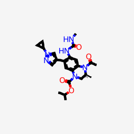 CNC(=O)Nc1cc2c(cc1-c1cnn(C3CC3)c1)N(C(=O)OC(C)C)C[C@H](C)N2C(C)=O